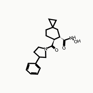 O=C(NO)[C@H]1CC2(CC[C@@H]1C(=O)N1CCC(c3ccccc3)C1)CC2